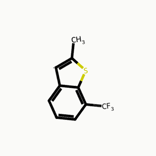 Cc1[c]c2cccc(C(F)(F)F)c2s1